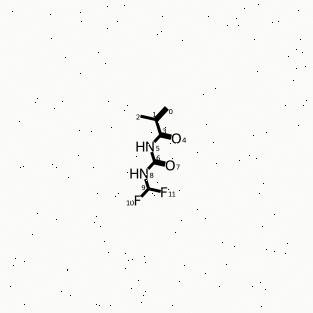 C=C(C)C(=O)NC(=O)NC(F)F